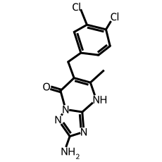 Cc1[nH]c2nc(N)nn2c(=O)c1Cc1ccc(Cl)c(Cl)c1